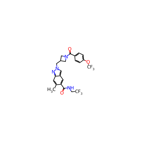 Cc1cc2nn(CC3CN(C(=O)c4ccc(OC(F)(F)F)cc4)C3)cc2cc1C(=O)NCC(F)(F)F